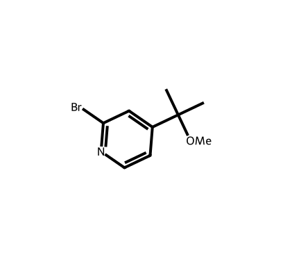 COC(C)(C)c1ccnc(Br)c1